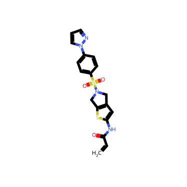 C=CC(=O)Nc1cc2c(s1)CN(S(=O)(=O)c1ccc(-n3cccn3)cc1)C2